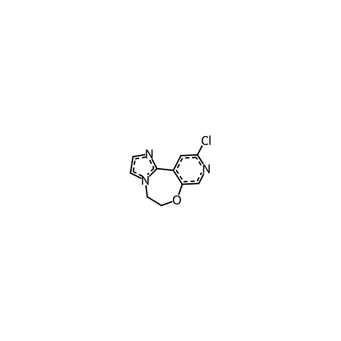 Clc1cc2c(cn1)OCCn1ccnc1-2